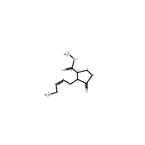 CC/C=C\CC1C(=O)CCC1C(=O)OC